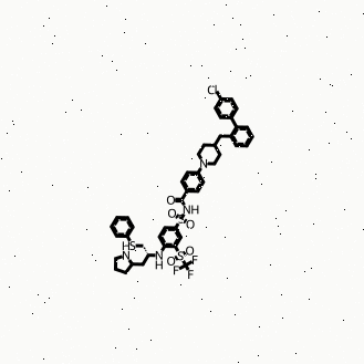 O=C(NS(=O)(=O)c1ccc(N[C@@H](CSc2ccccc2)CC2CCCN2)c(S(=O)(=O)C(F)(F)F)c1)c1ccc(N2CCC(Cc3ccccc3-c3ccc(Cl)cc3)CC2)cc1